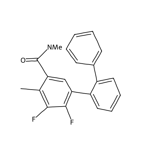 CNC(=O)c1cc(-c2ccccc2-c2ccccc2)c(F)c(F)c1C